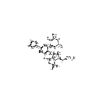 CCOC(=O)C1=C(CN2CC(F)(F)C3C2CCN3CC(=O)O)NC(c2nccs2)=NC1C1=CC(C)CC(F)=C1C